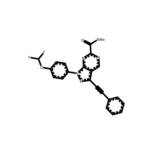 CNC(=O)c1ncc2c(C#Cc3ccccc3)nn(-c3ccc(OC(F)F)cc3)c2n1